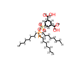 CCCCCCCC[PH](CCCCCCCC)(CCCCCCCC)OS(=O)(=O)c1cc(C(=O)O)cc(C(=O)O)c1